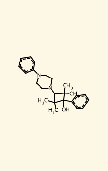 CC1(C)C(N2CCN(c3ccccc3)CC2)C(C)(C)C1(O)c1ccccc1